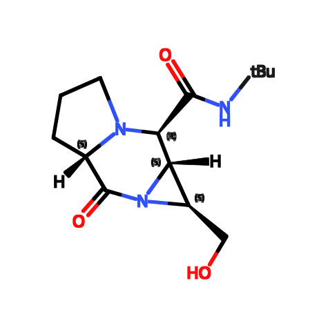 CC(C)(C)NC(=O)[C@H]1[C@@H]2[C@@H](CO)N2C(=O)[C@@H]2CCCN21